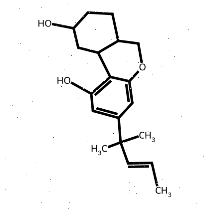 CC=CC(C)(C)c1cc(O)c2c(c1)OCC1CCC(O)CC21